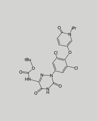 CC(C)n1cc(Oc2c(Cl)cc(-n3nc(NC(=O)OC(C)(C)C)c(=O)[nH]c3=O)cc2Cl)ccc1=O